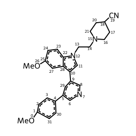 COc1ccc(-c2cncc(-c3cn(CCN4CCC(C#N)CC4)c4ccc(OC)cc34)c2)cc1